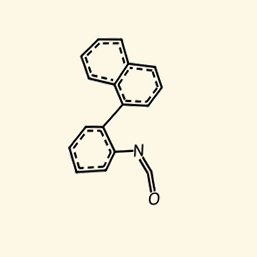 O=C=Nc1ccccc1-c1cccc2ccccc12